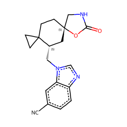 N#Cc1ccc2ncn(C[C@H]3C[C@@]4(CCC35CC5)CNC(=O)O4)c2c1